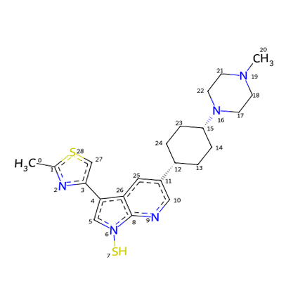 Cc1nc(-c2cn(S)c3ncc([C@H]4CC[C@@H](N5CCN(C)CC5)CC4)cc23)cs1